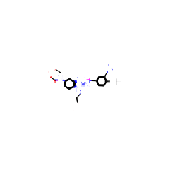 Cc1ccc(C(=O)/N=c2\[nH]c3cc(N4CCOCC4=O)ccc3n2CCCO)cc1C#N